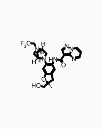 C[C@@]1(CO)Cc2cc(NC(=O)c3cnn4cccnc34)c(N3C[C@@H]4C[C@H]3CN4CC(F)(F)F)cc2O1